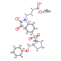 CC(C)(C)OC(=O)CCCN1C(=O)C(=O)c2cc(S(=O)(=O)N3CCCC3COc3ccccc3)ccc21